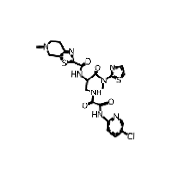 CN1CCc2nc(C(=O)NC(CNC(=O)C(=O)Nc3ccc(Cl)cn3)C(=O)N(C)c3nccs3)sc2C1